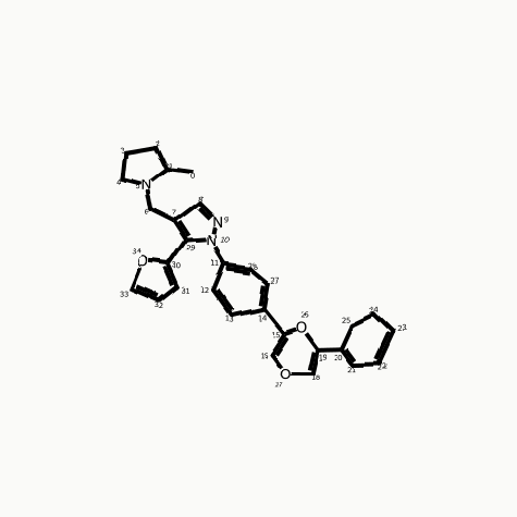 CC1CCCN1Cc1cnn(-c2ccc(C3=COC=C(C4=CC=CCC4)O3)cc2)c1-c1ccco1